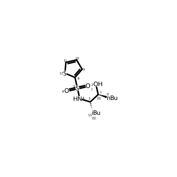 CCCC[C@H](O)C(NS(=O)(=O)c1cccs1)[C@@H](C)CC